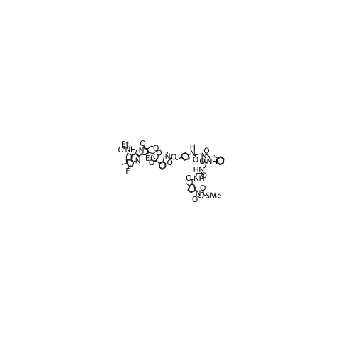 CCC(=O)N[C@H]1Cc2c(C)c(F)cc3nc4c(c1c23)Cn1c-4cc2c(c1=O)COC(=O)[C@@]2(CC)OC(=O)c1ccccc1CN(C)C(=O)OCc1ccc(NC(=O)CNC(=O)[C@H](Cc2ccccc2)NC(=O)CNC(=O)CNC(=O)c2cc(N3C(=O)CC(SC)C3=O)ccc2C)cc1